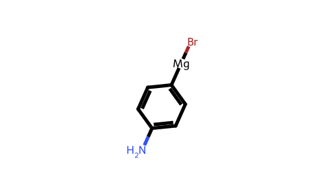 Nc1cc[c]([Mg][Br])cc1